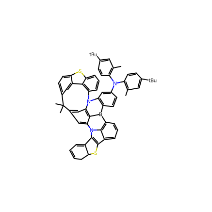 Cc1cc(C(C)(C)C)ccc1N(c1ccc2c(c1)N1c3cc(cc4c3B2c2cccc3c5c(n-4c23)C2=CC=CCC2S5)C(C)(C)c2ccc3sc4cccc1c4c3c2)c1ccc(C(C)(C)C)cc1C